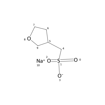 O=S(=O)([O-])CC1CCOC1.[Na+]